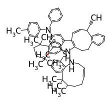 C#CC1/C=C\C(c2cc(N(c3ccccc3)c3ccc(C)cc3)cc(C)c2Sc2cccc3c2NC/C=C\CCC(C)C3(C)C)=C(\Nc2ccc3c(c2)C(C)(C)CCC3(C)C)CCc2ccccc21